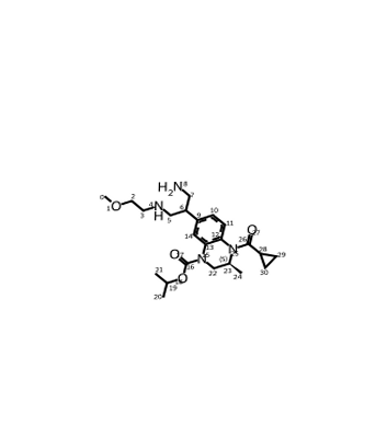 COCCNCC(CN)c1ccc2c(c1)N(C(=O)OC(C)C)C[C@H](C)N2C(=O)C1CC1